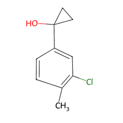 Cc1ccc(C2(O)CC2)cc1Cl